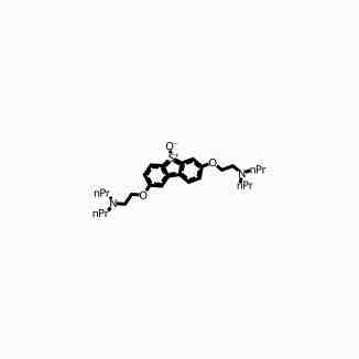 CCCN(CCC)CCOc1ccc2c(c1)c1ccc(OCCN(CCC)CCC)cc1[s+]2[O-]